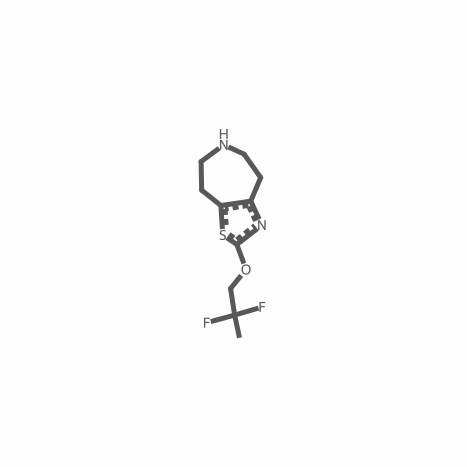 CC(F)(F)COc1nc2c(s1)CCNCC2